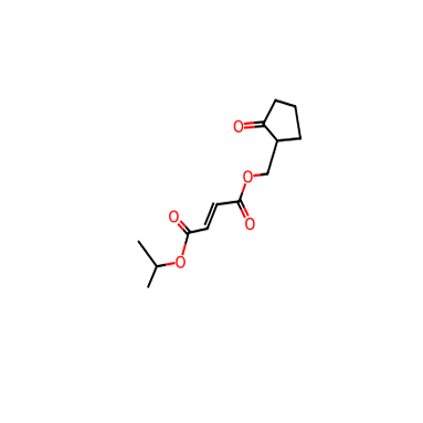 CC(C)OC(=O)/C=C/C(=O)OCC1CCCC1=O